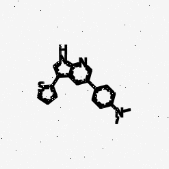 CN(C)c1ccc(-c2cnc3[nH]cc(-c4cccs4)c3c2)cc1